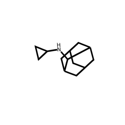 C1C2CC3CC1CC(C2)C3NC1CC1